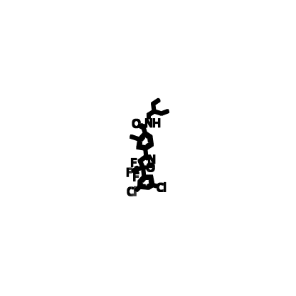 CCC(CC)CNC(=O)c1ccc(C2=NOC(c3cc(Cl)cc(Cl)c3)(C(F)(F)F)C2)cc1C